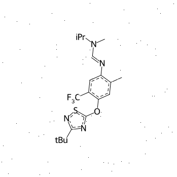 Cc1cc(Oc2nc(C(C)(C)C)ns2)c(C(F)(F)F)cc1N=CN(C)C(C)C